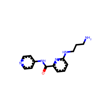 NCCCNc1cccc(C(=O)Nc2ccncc2)n1